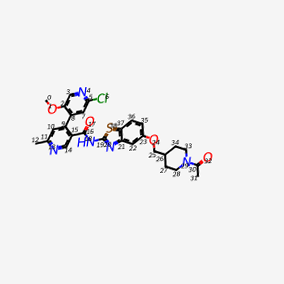 COc1cnc(Cl)cc1-c1cc(C)ncc1C(=O)Nc1nc2cc(OCC3CCN(C(C)=O)CC3)ccc2s1